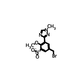 COc1c(-c2ncn(C)n2)cc(CBr)cc1[N+](=O)[O-]